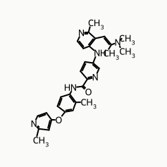 C/C(=C\c1c(Nc2ccc(C(=O)Nc3ccc(Oc4ccnc(C)c4)cc3C)nc2)ccnc1C)N(C)C